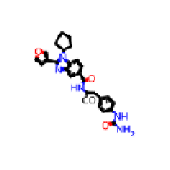 NC(=O)Nc1ccc(CC(NC(=O)c2ccc3c(c2)nc(-c2ccoc2)n3C2CCCCC2)C(=O)O)cc1